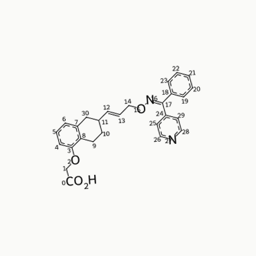 O=C(O)COc1cccc2c1CCC(C=CCON=C(c1ccccc1)c1ccncc1)C2